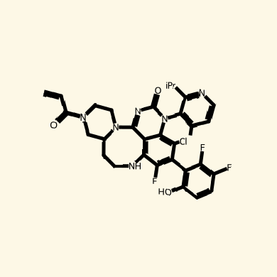 C=CC(=O)N1CCN2c3nc(=O)n(-c4c(C)ccnc4C(C)C)c4c(Cl)c(-c5c(O)ccc(F)c5F)c(F)c(c34)NCCC2C1